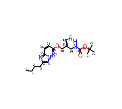 CCCCc1cn2nc(OCC(=CF)CNC(=O)OC(C)(C)C)ccc2n1